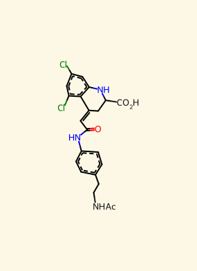 CC(=O)NCCc1ccc(NC(=O)C=C2CC(C(=O)O)Nc3cc(Cl)cc(Cl)c32)cc1